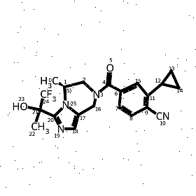 C[C@H]1CN(C(=O)c2ccc(C#N)c(C3CC3)c2)Cc2cnc(C(C)(O)C(F)(F)F)n21